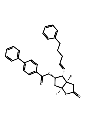 O=C1C[C@@H]2[C@@H](/C=C/CCCc3ccccc3)[C@H](OC(=O)c3ccc(-c4ccccc4)cc3)C[C@@H]2O1